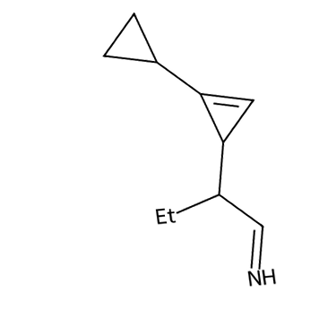 CCC(C=N)C1C=C1C1CC1